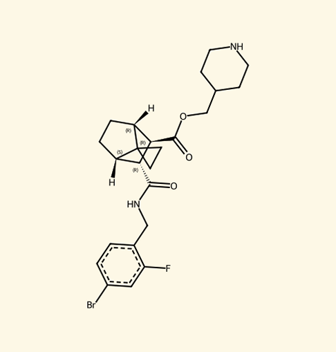 O=C(OCC1CCNCC1)[C@H]1[C@H](C(=O)NCc2ccc(Br)cc2F)[C@@H]2CC[C@H]1C21CC1